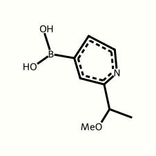 COC(C)c1cc(B(O)O)ccn1